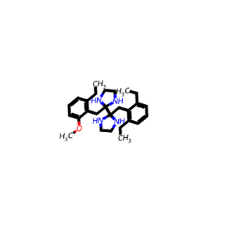 CCc1cccc(CC)c1CC1(C2(Cc3c(CC)cccc3OC)NCCN2)NCCN1